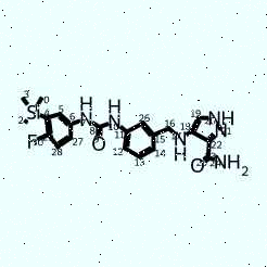 C[Si](C)(C)c1cc(NC(=O)Nc2cccc(CNc3c[nH]nc3C(N)=O)c2)ccc1F